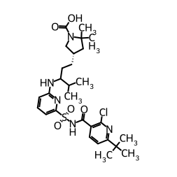 CC(C)C(CC[C@@H]1CN(C(=O)O)C(C)(C)C1)Nc1cccc(S(=O)(=O)NC(=O)c2ccc(C(C)(C)C)nc2Cl)n1